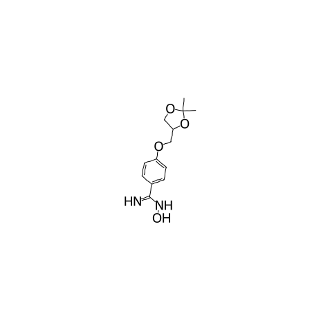 CC1(C)OCC(COc2ccc(C(=N)NO)cc2)O1